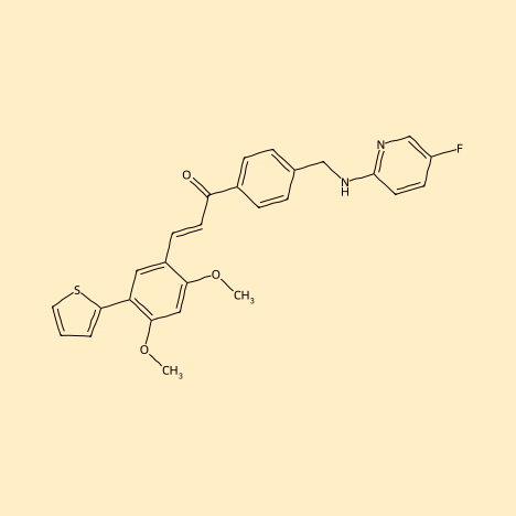 COc1cc(OC)c(-c2cccs2)cc1/C=C/C(=O)c1ccc(CNc2ccc(F)cn2)cc1